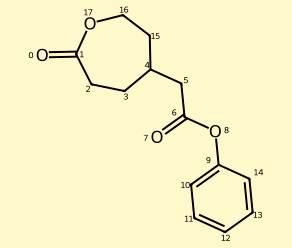 O=C1CCC(CC(=O)Oc2ccccc2)CCO1